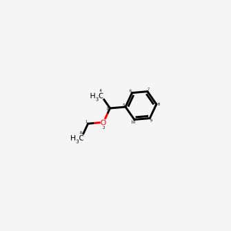 CCOC(C)c1cc[c]cc1